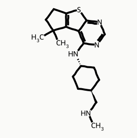 CNC[C@H]1CC[C@H](Nc2ncnc3sc4c(c23)C(C)(C)CC4)CC1